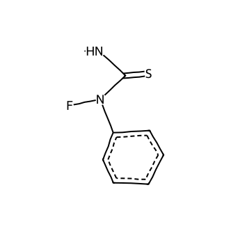 [NH]C(=S)N(F)c1ccccc1